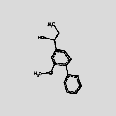 CCC(O)c1ccc(-c2ccccn2)c(OC)c1